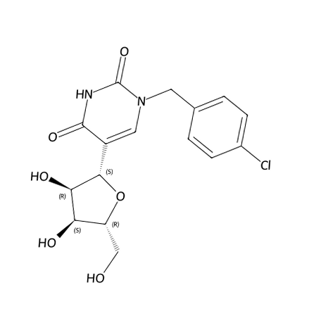 O=c1[nH]c(=O)n(Cc2ccc(Cl)cc2)cc1[C@@H]1O[C@H](CO)[C@@H](O)[C@H]1O